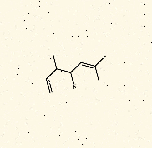 C=CC(C)C(F)C=C(C)C